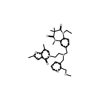 CCN1C(=O)C(C)(C)C(=O)N(C)c2cc(CN(CCn3cc(C)c4oc(C)cc4c3=O)Cc3cccnc3COC)ccc21